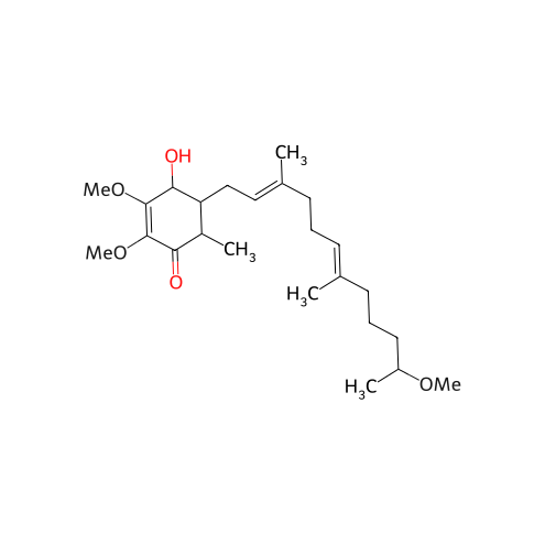 COC1=C(OC)C(O)C(C/C=C(\C)CC/C=C(\C)CCCC(C)OC)C(C)C1=O